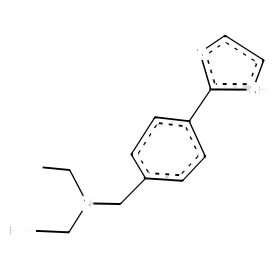 CCN(CC)Cc1ccc(-c2ncc[nH]2)cc1